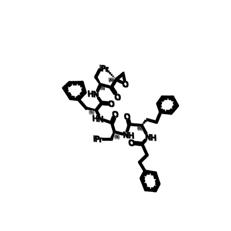 CC(C)C[C@H](NC(=O)[C@H](CCc1ccccc1)NC(=O)CCc1ccccc1)C(=O)N[C@@H](Cc1ccccc1)C(=O)N[C@@H](CC(C)C)C(=O)[C@@]1(C)CO1